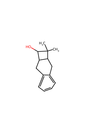 CC1(C)C(O)C2Cc3ccccc3CC21